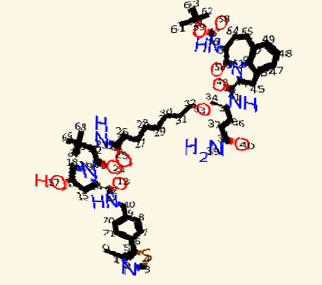 Cc1ncsc1-c1ccc(CNC(=O)[C@@H]2C[C@@H](O)CN2C(=O)[C@@H](NC(=O)CCCCCCCOC[C@H](CCC(N)=O)NC(=O)[C@@H]2Cc3cccc4c3N2C(=O)[C@@H](NC(=O)OC(C)(C)C)CC4)C(C)(C)C)cc1